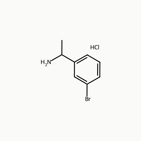 CC(N)c1cccc(Br)c1.Cl